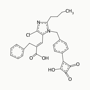 CCCCc1nc(Cl)c(/C=C(\Cc2ccccc2)C(=O)O)n1Cc1ccc(-c2c(O)c(=O)c2=O)cc1